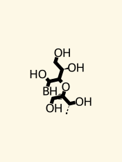 BC(O)C(OC(CO)[C@@H](C)O)[C@@H](O)CO